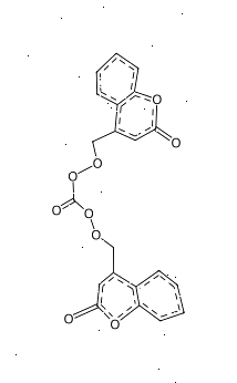 O=C(OOCc1cc(=O)oc2ccccc12)OOCc1cc(=O)oc2ccccc12